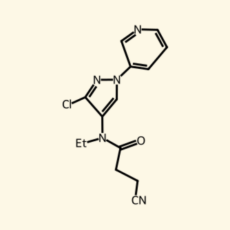 CCN(C(=O)CCC#N)c1cn(-c2cccnc2)nc1Cl